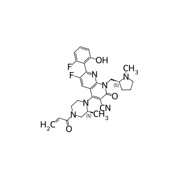 C=CC(=O)N1CCN(c2c(C#N)c(=O)n(C[C@@H]3CCCN3C)c3nc(-c4c(O)cccc4F)c(F)cc23)[C@@H](C)C1